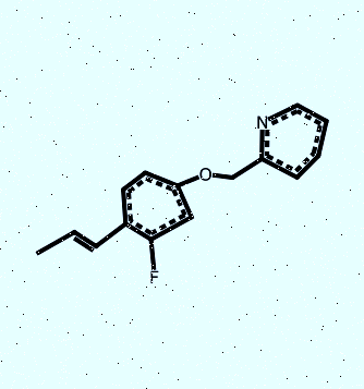 C/C=C/c1ccc(OCc2ccccn2)cc1F